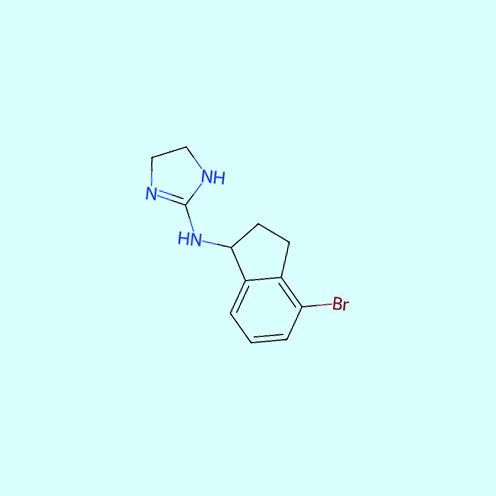 Brc1cccc2c1CCC2NC1=NCCN1